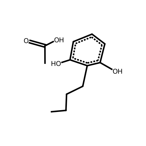 CC(=O)O.CCCCc1c(O)cccc1O